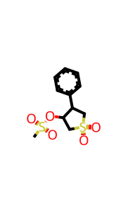 CS(=O)(=O)OC1CS(=O)(=O)CC1c1ccccc1